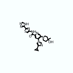 CC1(O)CCN(c2cnc(C(=O)Nc3csc(-c4nnc[nH]4)n3)cc2-n2cnc(C3CC3)c2)CC1